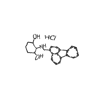 Cl.OC1CCCC(O)C1NCc1ccc2c3c(cccc13)-c1ccccc1-2